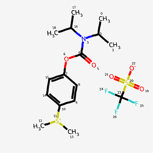 CC(C)N(C(=O)Oc1ccc([S+](C)C)cc1)C(C)C.O=S(=O)([O-])C(F)(F)F